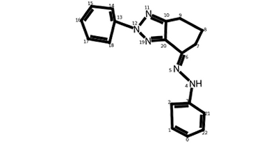 c1ccc(NN=C2CCCc3nn(-c4ccccc4)nc32)cc1